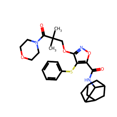 CC(C)(COc1noc(C(=O)NC2C3CC4CC(C3)C2C4)c1Sc1ccccc1)C(=O)N1CCOCC1